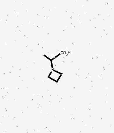 CC(C(=O)O)N1CCC1